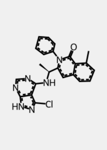 Cc1cccc2cc([C@H](C)Nc3ncnc4[nH]nc(Cl)c34)n(-c3ccccc3)c(=O)c12